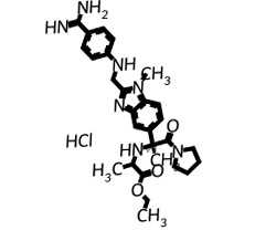 CCOC(=O)C(C)N[C@@](C)(C(=O)N1CCCC1)c1ccc2c(c1)nc(CNc1ccc(C(=N)N)cc1)n2C.Cl